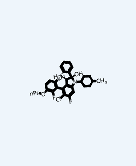 CCCOc1ccc(C#N)c(-c2c(Cl)c(F)cc3c2[C@H](C)[C@](O)(c2ccccc2)N3C2CCC(C)CC2)c1F